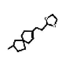 CC1CCC2(CC=C(CCC3OCCO3)CC2)C1